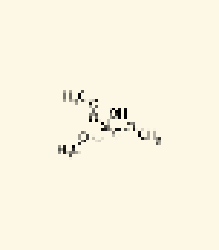 COO[Si](O)(OOC)OOC